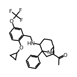 CC(=O)C1CC2(c3ccccc3)NC1CCC2NCc1cc(OC(F)(F)F)ccc1OC1CC1